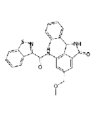 COCc1cc(NC(=O)c2nsc3ccccc23)c2c(c1)C(=O)NC2c1ccccc1C